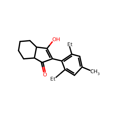 CCc1cc(C)cc(CC)c1C1=C(O)C2CCCCC2C1=O